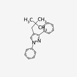 CC(C)(C)Cc1cn(-c2ccccc2)nc1-c1ccccc1